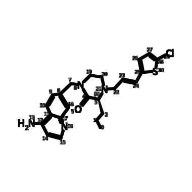 CCC[C@H]1C(=O)N(Cc2ccc3c(N)ccnc3c2)CCN1CC=Cc1ccc(Cl)s1